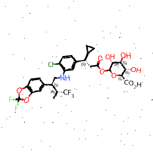 C[C@H]([C@H](CNc1cc([C@@H](CC(=O)OC2O[C@H](C(=O)O)[C@@H](O)[C@H](O)[C@H]2O)C2CC2)ccc1Cl)c1ccc2c(c1)OC(F)(F)O2)C(F)(F)F